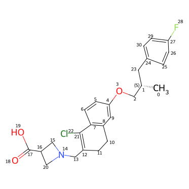 C[C@H](COc1ccc2c(c1)CCC(CN1CC(C(=O)O)C1)=C2Cl)Cc1ccc(F)cc1